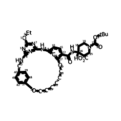 CCOc1nc2nc(n1)Nc1ccc(C(=O)NC3(C(=O)O)CCN(C(=O)OC(C)(C)C)CC3)c(c1)OCCCCCCOc1ccc(cc1)CN2